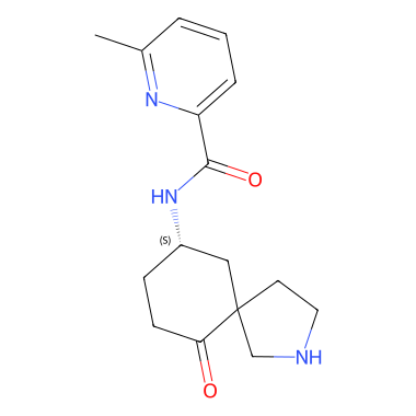 Cc1cccc(C(=O)N[C@H]2CCC(=O)C3(CCNC3)C2)n1